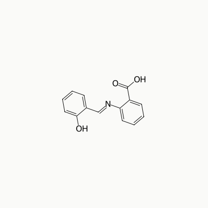 O=C(O)c1ccccc1N=Cc1ccccc1O